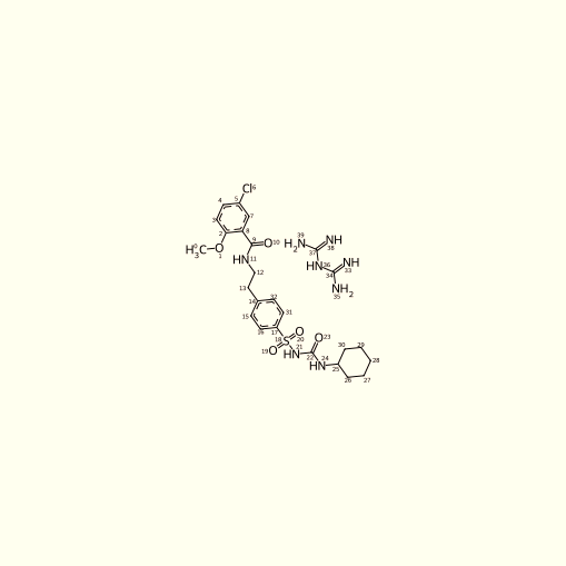 COc1ccc(Cl)cc1C(=O)NCCc1ccc(S(=O)(=O)NC(=O)NC2CCCCC2)cc1.N=C(N)NC(=N)N